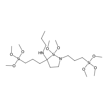 CCCNC1(CCC[Si](OC)(OC)OC)CCN(CCC[Si](OC)(OC)OC)[Si]1(OC)OC